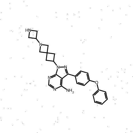 Nc1ncnc2c1c(-c1ccc(Oc3ccccc3)cc1)nn2C1CC2(C1)CN(C1CNC1)C2